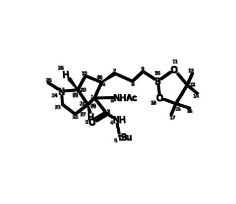 CC(=O)NC1(C(=O)NC(C)(C)C)[C@H](CCCB2OC(C)(C)C(C)(C)O2)C[C@@H]2[C@H]1CCN2C